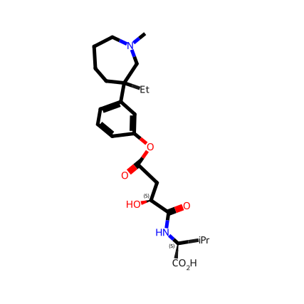 CCC1(c2cccc(OC(=O)C[C@H](O)C(=O)N[C@H](C(=O)O)C(C)C)c2)CCCCN(C)C1